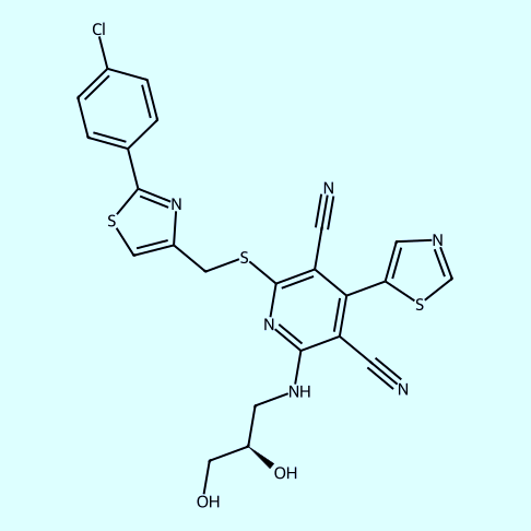 N#Cc1c(NC[C@@H](O)CO)nc(SCc2csc(-c3ccc(Cl)cc3)n2)c(C#N)c1-c1cncs1